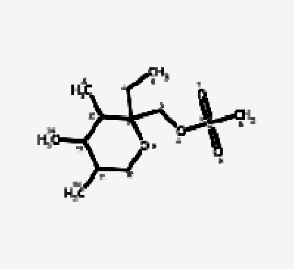 CCC1(COS(C)(=O)=O)OCC(C)C(C)C1C